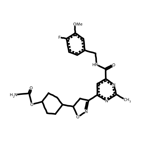 COc1cc(CNC(=O)c2cc(C3=NOC(C4CCC(OC(N)=O)CC4)C3)nc(C)n2)ccc1F